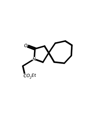 CCOC(=O)CN1CC2(CCCCCC2)CC1=O